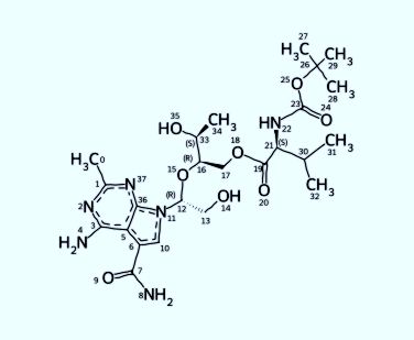 Cc1nc(N)c2c(C(N)=O)cn([C@@H](CO)O[C@H](COC(=O)[C@@H](NC(=O)OC(C)(C)C)C(C)C)[C@H](C)O)c2n1